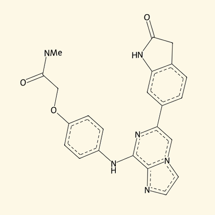 CNC(=O)COc1ccc(Nc2nc(-c3ccc4c(c3)NC(=O)C4)cn3ccnc23)cc1